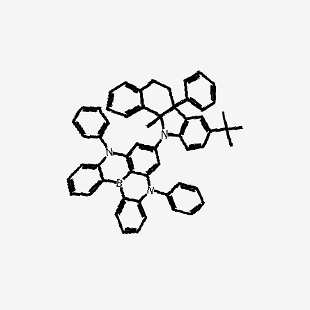 CC(C)(C)c1ccc2c(c1)C1(c3ccccc3)CCc3ccccc3C1(C)N2c1cc2c3c(c1)N(c1ccccc1)c1ccccc1B3c1ccccc1N2c1ccccc1